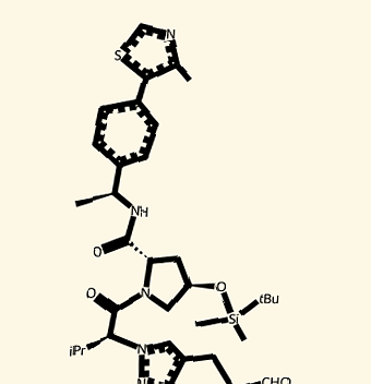 Cc1ncsc1-c1ccc([C@H](C)NC(=O)[C@@H]2C[C@@H](O[Si](C)(C)C(C)(C)C)CN2C(=O)[C@H](C(C)C)n2cc(CCC=O)nn2)cc1